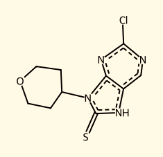 S=c1[nH]c2cnc(Cl)nc2n1C1CCOCC1